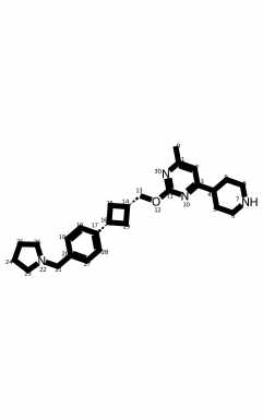 Cc1cc(C2CCNCC2)nc(OC[C@H]2C[C@@H](c3ccc(CN4CCCC4)cc3)C2)n1